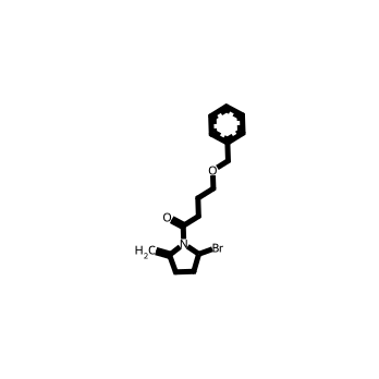 C=C1CCC(Br)N1C(=O)CCCOCc1ccccc1